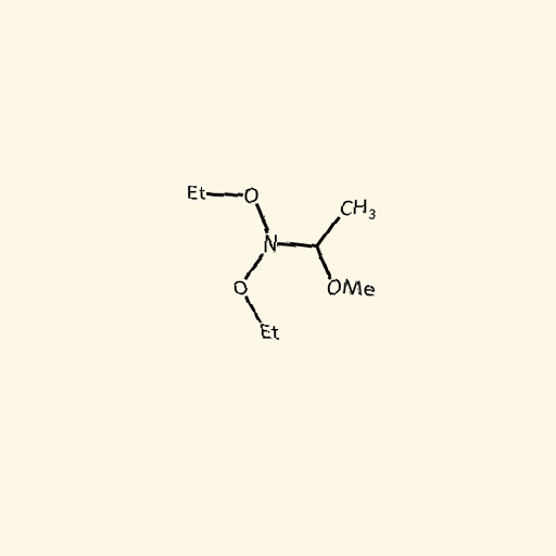 CCON(OCC)C(C)OC